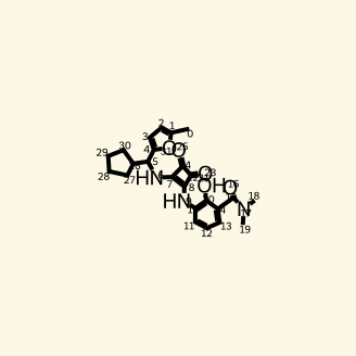 Cc1ccc(C(Nc2c(Nc3cccc(C(=O)N(C)C)c3O)c(=O)c2=O)C2CCCC2)o1